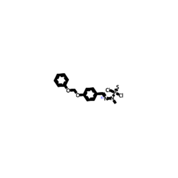 CN(/N=C/c1ccc(OCOc2ccccc2)cc1)P(=S)(Cl)Cl